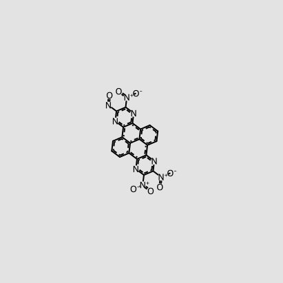 O=Nc1nc2c3cccc4c5nc([N+](=O)[O-])c([N+](=O)[O-])nc5c5cccc(c2nc1[N+](=O)[O-])c5c34